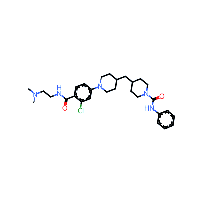 CN(C)CCNC(=O)c1ccc(N2CCC(CC3CCN(C(=O)Nc4ccccc4)CC3)CC2)cc1Cl